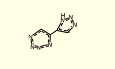 [c]1nn[nH]c1-c1cnnnn1